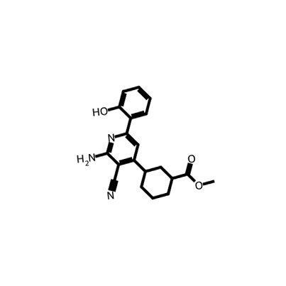 COC(=O)C1CCCC(c2cc(-c3ccccc3O)nc(N)c2C#N)C1